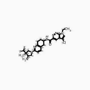 CCn1cc(Cl)c2cc(C(=O)NC3CCc4nc(N5CC(N)C(C)(C(F)F)C5)ccc4C3)nnc21